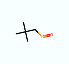 CC(C)(C)CP=O